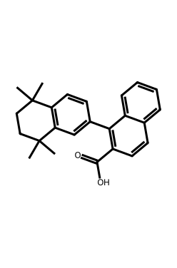 CC1(C)CCC(C)(C)c2cc(-c3c(C(=O)O)ccc4ccccc34)ccc21